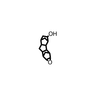 OC1CC2CC1C1C2CC2C3CC(C4OC34)C21